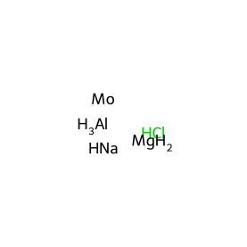 Cl.[AlH3].[MgH2].[Mo].[NaH]